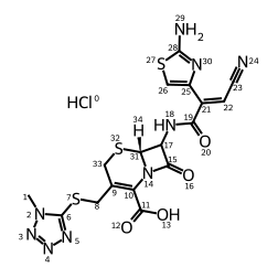 Cl.Cn1nnnc1SCC1=C(C(=O)O)N2C(=O)C(NC(=O)/C(=C/C#N)c3csc(N)n3)[C@H]2SC1